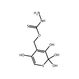 NNC(=S)OCC1=C(O)C(O)(O)SC=C1O